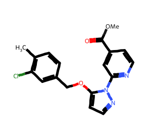 COC(=O)c1ccnc(-n2nccc2OCc2ccc(C)c(Cl)c2)c1